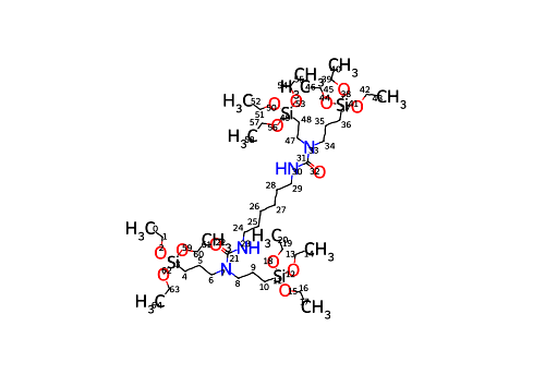 CCO[Si](CCCN(CCC[Si](OCC)(OCC)OCC)C(=O)NCCCCCCNC(=O)N(CCC[Si](OCC)(OCC)OCC)CC[Si](OCC)(OCC)OCC)(OCC)OCC